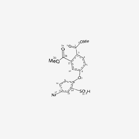 COC(=O)c1ccc(Oc2cc[c]([Na])cc2S(=O)(=O)O)cc1C(=O)OC